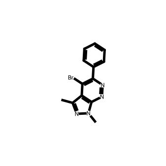 Cc1nn(C)c2nnc(-c3ccccc3)c(Br)c12